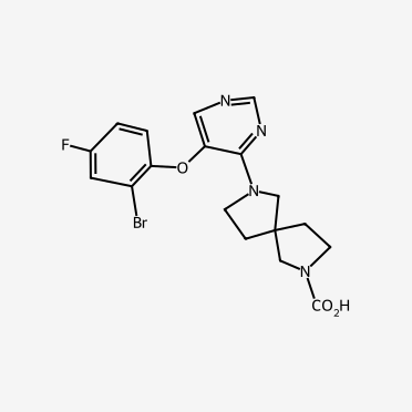 O=C(O)N1CCC2(CCN(c3ncncc3Oc3ccc(F)cc3Br)C2)C1